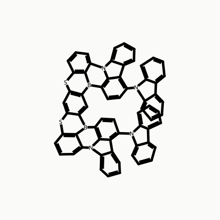 c1cc2c3c(c1)-n1c4ccccc4c4c(-n5c6ccccc6c6ccccc65)ccc(c41)B3c1cc3c(cc1S2)Sc1cccc2c1B3c1ccc(-n3c4ccccc4c4ccccc43)c3c4ccccc4n-2c13